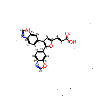 O=C(O)/C=C/c1cc(-c2ccc3ncoc3c2)c(-c2ccc3ncoc3c2)o1